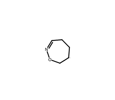 [CH]1CCC=NOC1